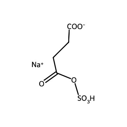 O=C([O-])CCC(=O)OS(=O)(=O)O.[Na+]